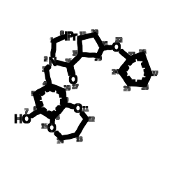 CC(C)CN(Cc1cc(O)c2c(c1)OCCCO2)C(=O)C1CCC(Oc2ccccc2)C1